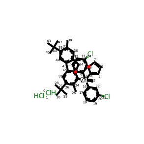 Cl.Cl.[CH2]=[Zr]([C]1=CC=CC1)([c]1cccc(Cl)c1)([c]1cccc(Cl)c1)[c]1c(C)c(C(C)(C)C)cc2c1Cc1cc(C)c(C(C)(C)C)cc1-2